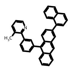 Cc1cccnc1-c1cccc(-c2c3ccccc3cc3cc(-c4cccc5ccccc45)ccc23)c1